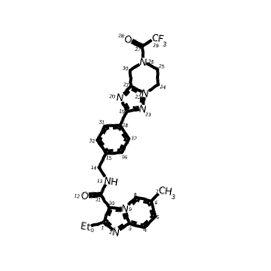 CCc1nc2ccc(C)cn2c1C(=O)NCc1ccc(-c2nc3n(n2)CCN(C(=O)C(F)(F)F)C3)cc1